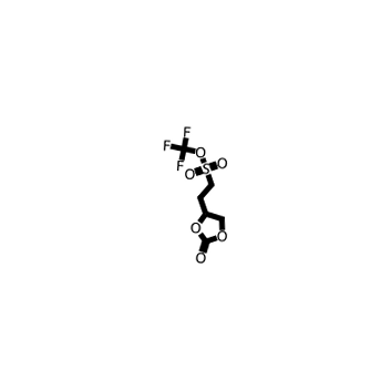 O=C1OCC(CCS(=O)(=O)OC(F)(F)F)O1